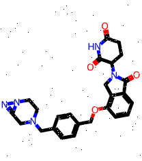 O=C1CCC(N2Cc3c(OCc4ccc(CN5CCN6N=C6C5)cc4)cccc3C2=O)C(=O)N1